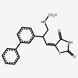 O=C(O)NCC(/C=C1/SC(=O)NC1=O)c1cccc(-c2ccccc2)c1